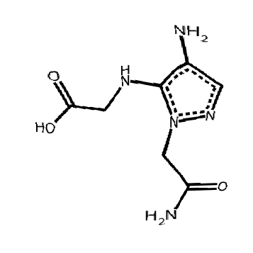 NC(=O)Cn1ncc(N)c1NCC(=O)O